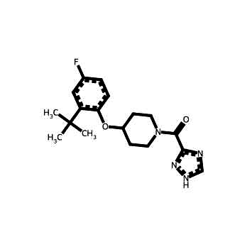 CC(C)(C)c1cc(F)ccc1OC1CCN(C(=O)c2nc[nH]n2)CC1